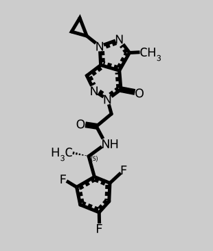 Cc1nn(C2CC2)c2cnn(CC(=O)N[C@@H](C)c3c(F)cc(F)cc3F)c(=O)c12